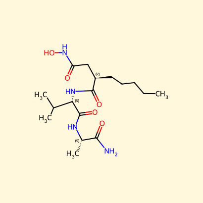 CCCCC[C@H](CC(=O)NO)C(=O)N[C@H](C(=O)N[C@@H](C)C(N)=O)C(C)C